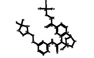 CC1(C)OC[C@H](COc2ccnc(NC(=O)N3c4nc(C(=O)NCC(F)(F)F)ccc4N4CC[C@H]3C4)c2)O1